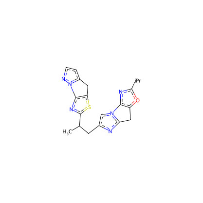 CC(C)c1nc2c(o1)Cc1nc(CC(C)c3nc4c(s3)Cc3ccnn3-4)cn1-2